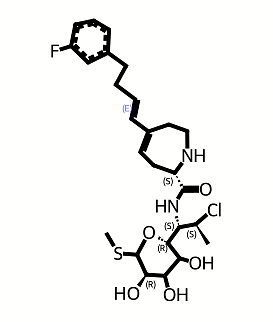 CSC1O[C@H]([C@H](NC(=O)[C@@H]2CC=C(/C=C/CCc3cccc(F)c3)CCN2)[C@H](C)Cl)C(O)C(O)[C@H]1O